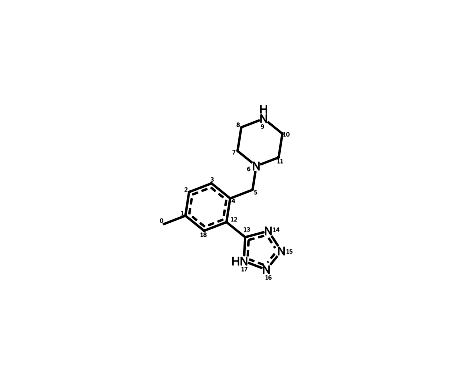 Cc1ccc(CN2CCNCC2)c(-c2nnn[nH]2)c1